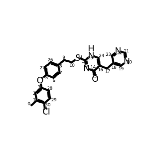 Cc1cc(Oc2ccc(CCSc3nc(=O)c(Cc4cncnc4)c[nH]3)cc2)ccc1Cl